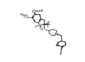 COc1cc2c(cc1OC)S(=O)(=O)C(F)(CC1CCN(Cc3ccc(F)cc3)CC1)C2